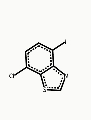 Clc1ccc(I)c2ncsc12